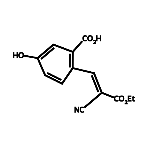 CCOC(=O)/C(C#N)=C/c1ccc(O)cc1C(=O)O